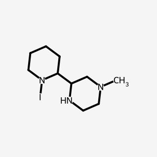 CN1CCNC(C2CCCCN2I)C1